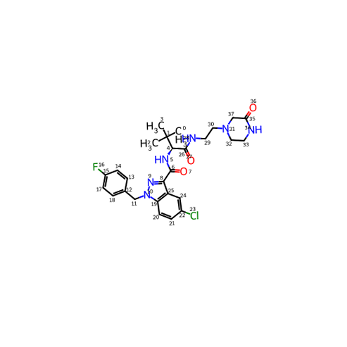 CC(C)(C)[C@H](NC(=O)c1nn(Cc2ccc(F)cc2)c2ccc(Cl)cc12)C(=O)NCCN1CCNC(=O)C1